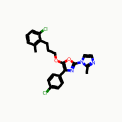 Cc1cccc(Cl)c1CCCOc1oc(-n2ccnc2C)nc1-c1ccc(Cl)cc1